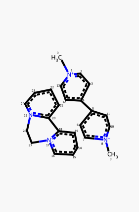 C[n+]1ccc(-c2cc[n+](C)cc2)cc1.c1cc[n+]2c(c1)-c1cccc[n+]1CC2